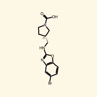 O=C(O)N1CC[C@@H](CNc2nc3cc(Br)ccc3o2)C1